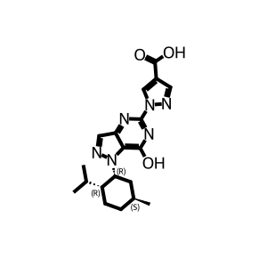 CC(C)[C@H]1CC[C@H](C)C[C@H]1n1ncc2nc(-n3cc(C(=O)O)cn3)nc(O)c21